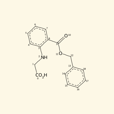 O=C(O)CNc1ccccc1C(=O)OCc1ccccc1